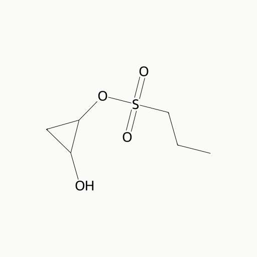 CCCS(=O)(=O)OC1CC1O